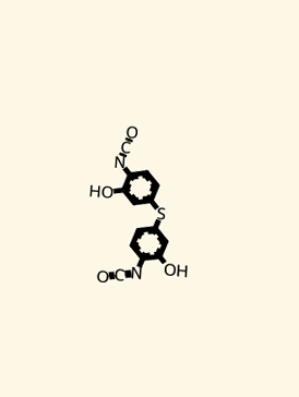 O=C=Nc1ccc(Sc2ccc(N=C=O)c(O)c2)cc1O